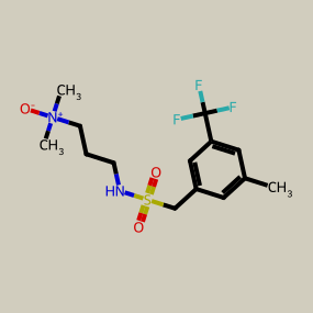 Cc1cc(CS(=O)(=O)NCCC[N+](C)(C)[O-])cc(C(F)(F)F)c1